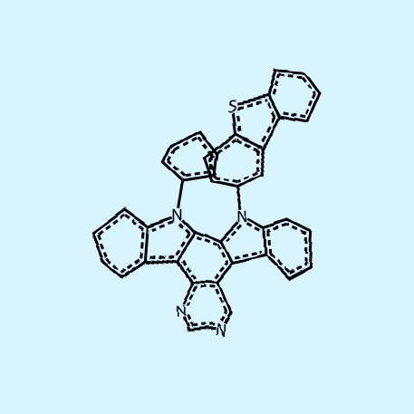 c1ccc(-n2c3ccccc3c3c4ncncc4c4c5ccccc5n(-c5ccc6sc7ccccc7c6c5)c4c32)cc1